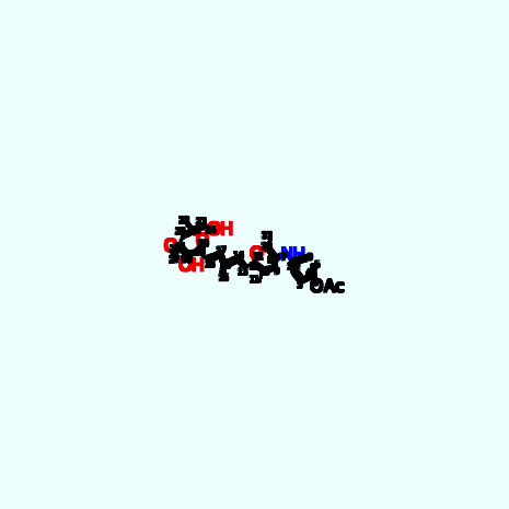 C=C(/C=C\[C@@H](C)OC(C)=O)NC1C[C@H](C)[C@H](C/C=C(C)/C=C/[C@H]2O[C@@](C)(CO)C[C@@]3(CO3)[C@@H]2O)O[C@@H]1C